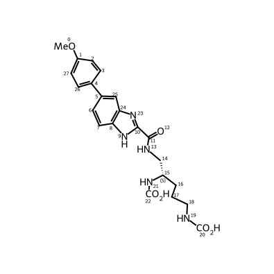 COc1ccc(-c2ccc3[nH]c(C(=O)NC[C@H](CCCNC(=O)O)NC(=O)O)nc3c2)cc1